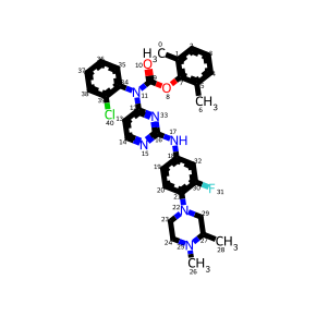 Cc1cccc(C)c1OC(=O)N(c1ccnc(Nc2ccc(N3CCN(C)C(C)C3)c(F)c2)n1)c1ccccc1Cl